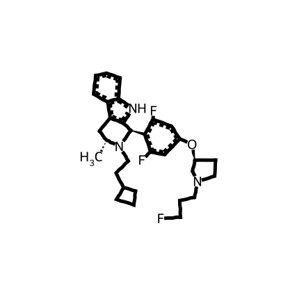 C[C@@H]1Cc2c([nH]c3ccccc23)[C@@H](c2c(F)cc(O[C@H]3CCN(CCCF)C3)cc2F)N1CCC1CCC1